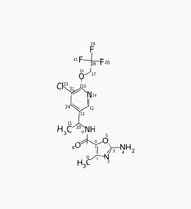 Cc1nc(N)oc1C(=O)NC(C)c1cnc(OCC(F)(F)F)c(Cl)c1